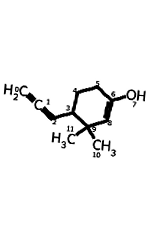 C=C=CC1CCC(O)=CC1(C)C